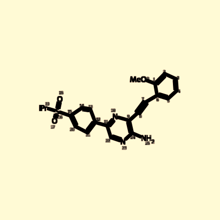 COc1ccccc1C#Cc1nc(-c2ccc(S(=O)(=O)C(C)C)cc2)cnc1N